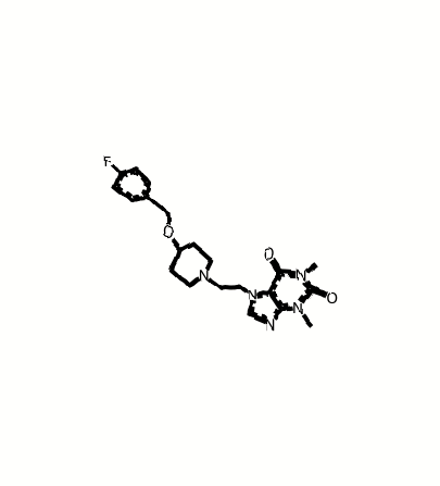 Cn1c(=O)c2c(ncn2CCN2CCC(OCc3ccc(F)cc3)CC2)n(C)c1=O